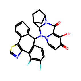 O=C1c2c(O)c(=O)ccn2N(C2c3ccccc3-c3scnc3-c3c2ccc(F)c3F)C2C3CCC(C3)N12